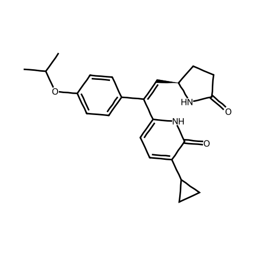 CC(C)Oc1ccc(/C(=C/[C@H]2CCC(=O)N2)c2ccc(C3CC3)c(=O)[nH]2)cc1